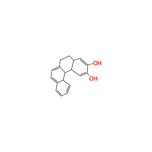 OC1=CC2CCC3=CC=C4C=CC=CC4C3C2C=C1O